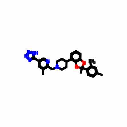 Bc1cc(C)ccc1C1(C)Oc2cccc(C3CCN(Cc4ncc(-c5nnn[nH]5)cc4C)CC3)c2O1